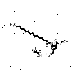 CCCCCCCCCCCCCCCC(=O)Nc1sc(CN)cc1C(=O)OCC.O=C(O)C(F)(F)F